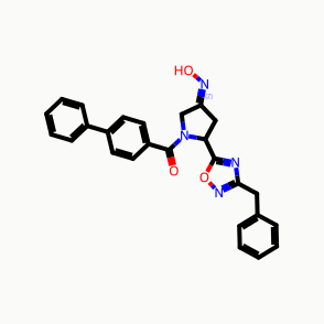 O=C(c1ccc(-c2ccccc2)cc1)N1C/C(=N\O)CC1c1nc(Cc2ccccc2)no1